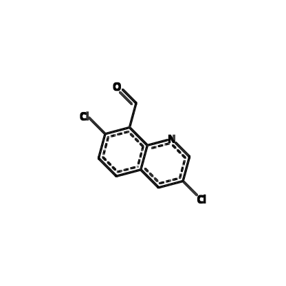 O=Cc1c(Cl)ccc2cc(Cl)cnc12